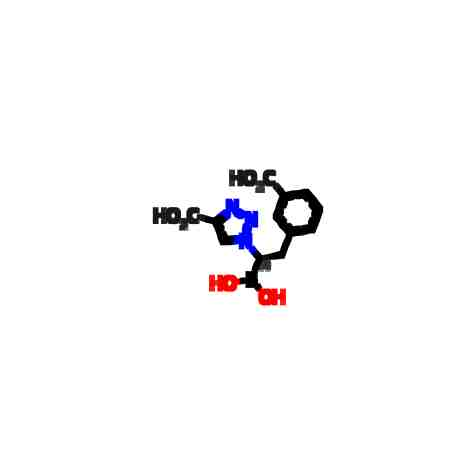 O=C(O)c1cccc(C[C@@H](B(O)O)n2cc(C(=O)O)nn2)c1